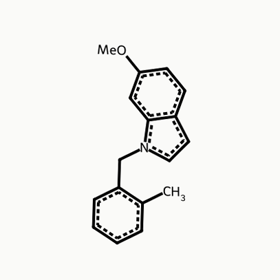 COc1ccc2ccn(Cc3ccccc3C)c2c1